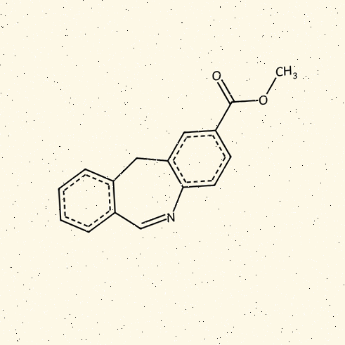 COC(=O)c1ccc2c(c1)Cc1ccccc1C=N2